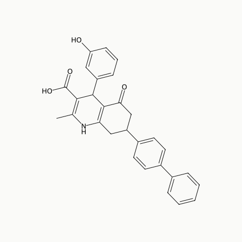 CC1=C(C(=O)O)C(c2cccc(O)c2)C2=C(CC(c3ccc(-c4ccccc4)cc3)CC2=O)N1